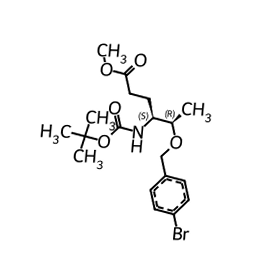 COC(=O)CC[C@H](NC(=O)OC(C)(C)C)[C@@H](C)OCc1ccc(Br)cc1